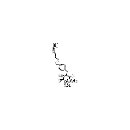 COC(=O)C(Cc1ccc(OCCCN=[N+]=[N-])cc1)NC(=O)OC(C)(C)C